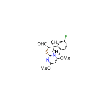 COc1cc(OC)nc(SC(C=O)C(C)(C)c2cccc(F)c2)n1